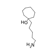 NCCCCCC1(O)CCCCCC1